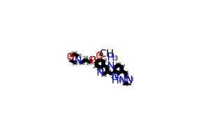 COc1cc2c(Nc3ccc(Cc4ncc[nH]4)cc3)c(C#N)cnc2cc1OCCCN1CCOCC1